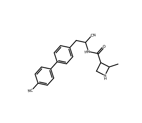 CC1NCC1C(=O)NC(C#N)Cc1ccc(-c2ccc(C#N)cc2)cc1